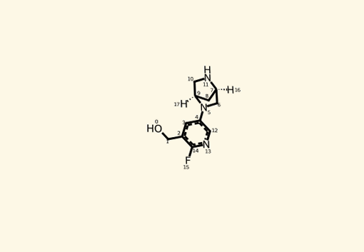 OCc1cc(N2C[C@H]3C[C@@H]2CN3)cnc1F